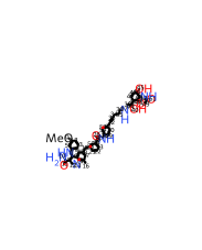 COc1cccc(Nc2c(C(N)=O)cnc3c(C)cc(Cc4cccc(C(=O)Nc5ccc(C#CCCCNC[C@H](O)c6ccc(O)c7c6OCC(=O)N7)cc5)c4)cc23)c1